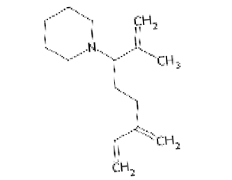 C=CC(=C)CCC(C(=C)C)N1CCCCC1